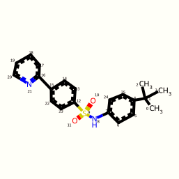 CC(C)(C)c1ccc(NS(=O)(=O)c2ccc(-c3ccccn3)cc2)cc1